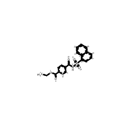 CCOC(=O)c1ccc(C(=O)NS(=O)(=O)c2cccc3ccccc23)cn1